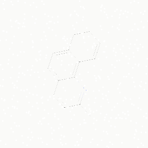 Cc1ccc2ccc3c(c2n1)C=CCC3